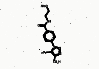 CCCc1c(C(=O)O)nnn1-c1ccc(C(=O)NCCOC)cc1